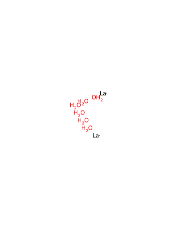 O.O.O.O.O.O.[La].[La]